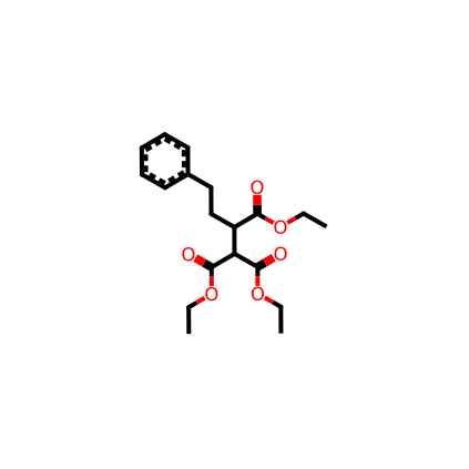 CCOC(=O)C(CCc1ccccc1)C(C(=O)OCC)C(=O)OCC